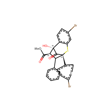 COC(=O)[C@@H]1C(c2ccccc2)[C@@]2(c3ccc(Br)cc3)Sc3cc(Br)ccc3[C@@]1(O)C2=O